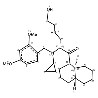 COc1ccc(CN(C2CC2)[C@H](CNCCO)C(=O)N2CCC[C@H]3CCCC[C@@H]32)c(OC)c1